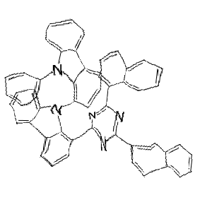 c1ccc(-n2c3ccccc3c3cccc(-n4c5ccccc5c5cccc(-c6nc(-c7ccc8ccccc8c7)nc(-c7cccc8ccccc78)n6)c54)c32)cc1